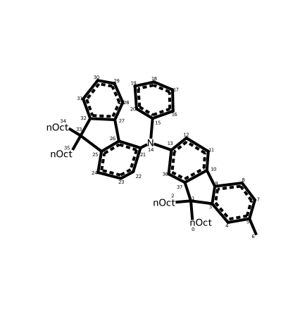 CCCCCCCCC1(CCCCCCCC)c2cc(C)ccc2-c2ccc(N(c3ccccc3)c3cccc4c3-c3ccccc3C4(CCCCCCCC)CCCCCCCC)cc21